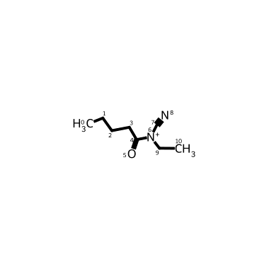 CCCCC(=O)[N+](C#N)CC